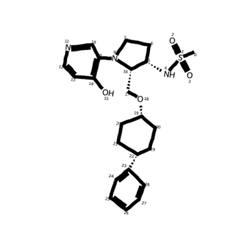 CS(=O)(=O)N[C@H]1CCN(c2cnccc2O)[C@H]1CO[C@H]1CC[C@@H](c2ccccc2)CC1